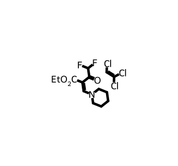 CCOC(=O)C(=CN1CCCCC1)C(=O)C(F)F.ClC=C(Cl)Cl